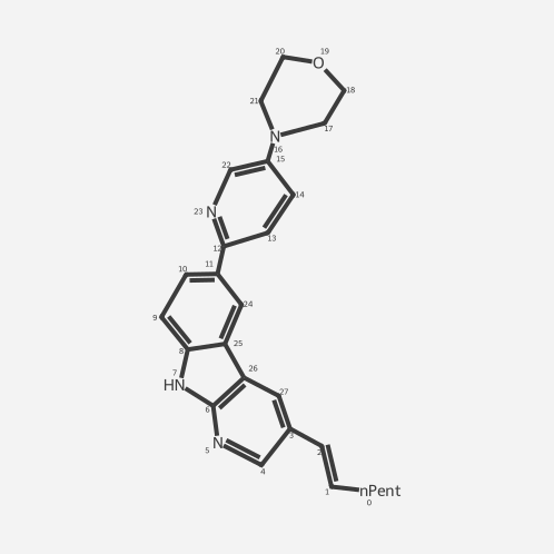 CCCCC/C=C/c1cnc2[nH]c3ccc(-c4ccc(N5CCOCC5)cn4)cc3c2c1